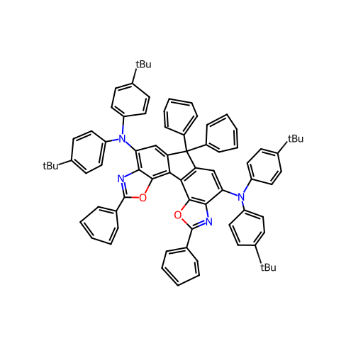 CC(C)(C)c1ccc(N(c2ccc(C(C)(C)C)cc2)c2cc3c(c4oc(-c5ccccc5)nc24)-c2c(cc(N(c4ccc(C(C)(C)C)cc4)c4ccc(C(C)(C)C)cc4)c4nc(-c5ccccc5)oc24)C3(c2ccccc2)c2ccccc2)cc1